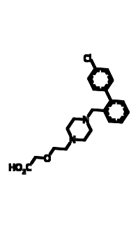 O=C(O)COCCN1CCN(Cc2ccccc2-c2ccc(Cl)cc2)CC1